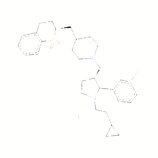 O=C(O)[C@@H](CC1CC1)N1CC[C@@H](CN2CCC(C[C@@H]3CCc4ccccc4S3(=O)=O)CC2)C1c1cccc(F)c1